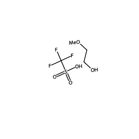 COCCO.O=S(=O)(O)C(F)(F)F